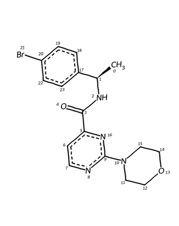 C[C@@H](NC(=O)c1ccnc(N2CCOCC2)n1)c1ccc(Br)cc1